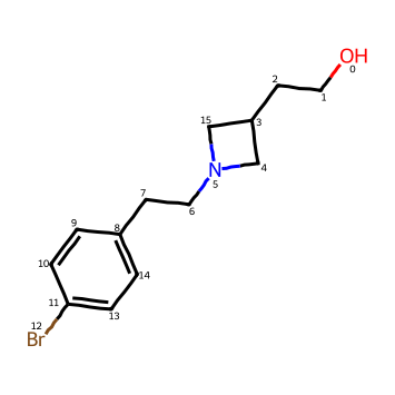 OCCC1CN(CCc2ccc(Br)cc2)C1